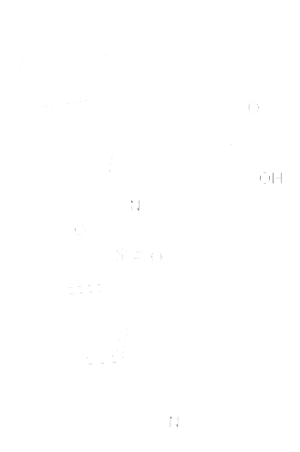 N#Cc1cccc(S(=O)(=O)N2CC(C(=O)O)CC(C3CCCCC3)C2)c1